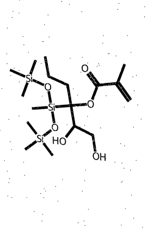 C=C(C)C(=O)OC(CCC)(C(O)CO)[Si](C)(O[Si](C)(C)C)O[Si](C)(C)C